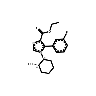 CCOC(=O)c1ncn([C@H]2CCCC[C@@H]2O)c1-c1cccc(F)c1